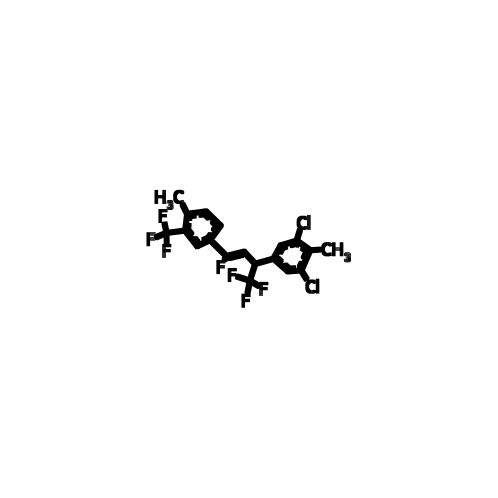 Cc1ccc(/C(F)=C/C(c2cc(Cl)c(C)c(Cl)c2)C(F)(F)F)cc1C(F)(F)F